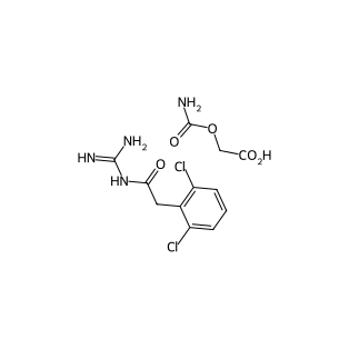 N=C(N)NC(=O)Cc1c(Cl)cccc1Cl.NC(=O)OCC(=O)O